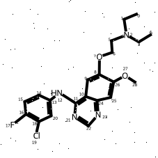 CCN(CC)CCOc1cc2c(Nc3ccc(F)c(Cl)c3)ncnc2cc1OC